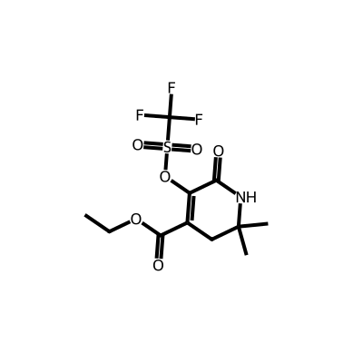 CCOC(=O)C1=C(OS(=O)(=O)C(F)(F)F)C(=O)NC(C)(C)C1